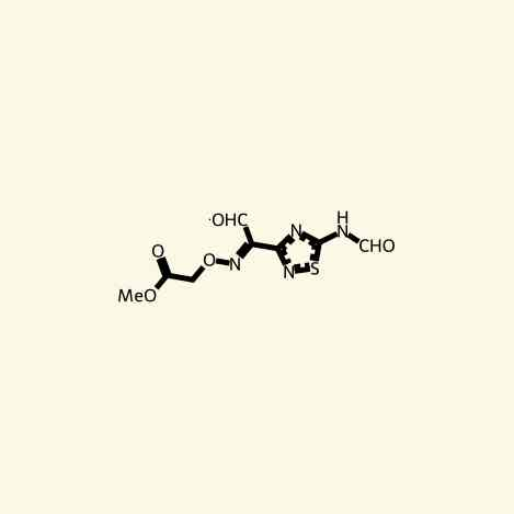 COC(=O)CON=C([C]=O)c1nsc(NC=O)n1